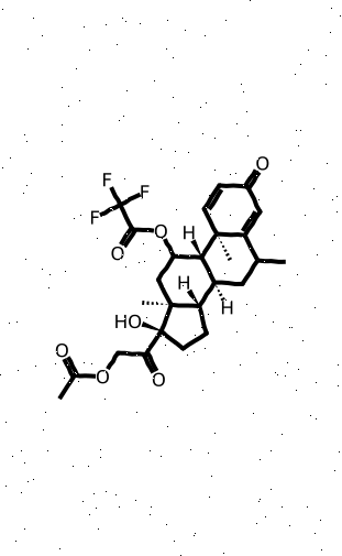 CC(=O)OCC(=O)[C@@]1(O)CC[C@H]2[C@@H]3CC(C)C4=CC(=O)C=C[C@]4(C)[C@H]3C(OC(=O)C(F)(F)F)C[C@@]21C